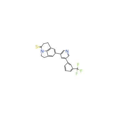 FC(F)(F)c1cccc(-c2cncc(-c3cc4c5c(c3)CCN5C(=S)CC4)c2)c1